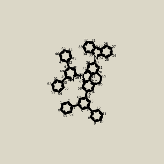 c1ccc(-c2cc(-c3ccccc3)cc(-c3cc4c5c6c(cc(-n7c8ccccc8c8ccccc87)cc6n(-c6cc(-c7ccccc7)cc(-c7ccccc7)n6)c5c3)CC4)c2)cc1